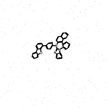 c1ccc2c(c1)-c1c(ccc3ccccc13)N(c1ccc(-c3cccc4c3oc3ccccc34)cc1)c1nc3ccccc3n1-2